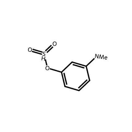 CNc1cccc(O[SH](=O)=O)c1